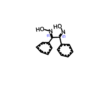 O/N=C(\C(=N\O)c1ccccc1)c1ccccc1